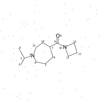 CC(C)N1CCCC(C(=O)N2CCC2)CC1